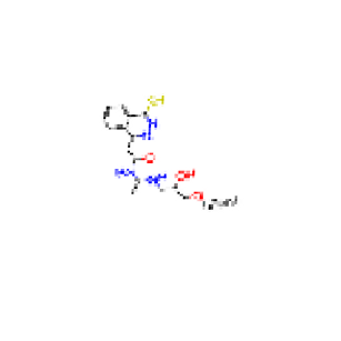 CCCCCOCC(O)CNC(C)NC(=O)Cc1nnc(S)c2ccccc12